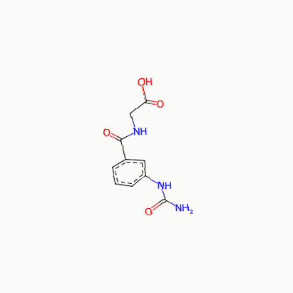 NC(=O)Nc1cccc(C(=O)NCC(=O)O)c1